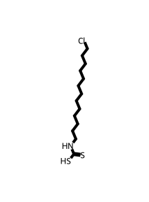 S=C(S)NCCCCCCCCCCCCCCl